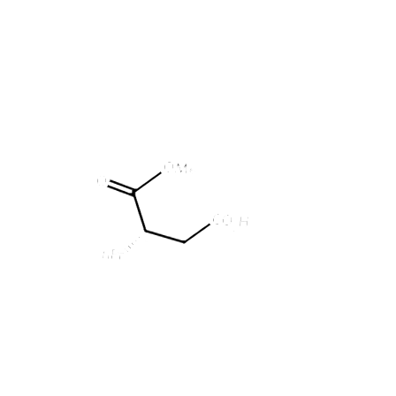 CCC[C@@H](CC(=O)O)C(=O)OC